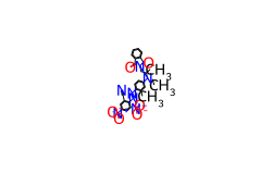 CCN(c1ccc(/N=N/c2c(C#N)cc([N+](=O)[O-])cc2[N+](=O)[O-])c(C)c1)C(C)CN1C(=O)c2ccccc2C1=O